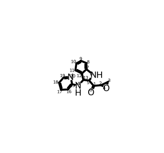 O=C(C1CO1)C1Nc2ccccc2C1Nc1ccccn1